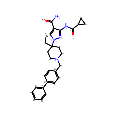 N#CCC1(n2cc(C(N)=O)c(NC(=O)C3CC3)n2)CCN(Cc2ccc(-c3ccccc3)cc2)CC1